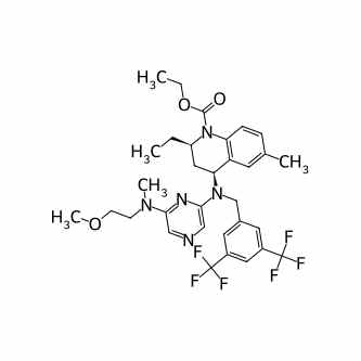 CCOC(=O)N1c2ccc(C)cc2[C@@H](N(Cc2cc(C(F)(F)F)cc(C(F)(F)F)c2)c2cncc(N(C)CCOC)n2)C[C@H]1CC